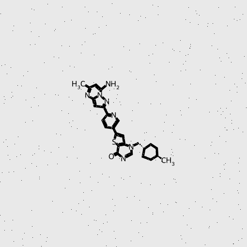 Cc1cc(N)n2nc(-c3ccc(-c4cc5c(s4)c(=O)ncn5C[C@H]4CC[C@H](C)CC4)cn3)cc2n1